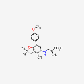 [2H]C1([2H])Cc2c(C#N)c(NCC(=C)C(=O)O)cc(-c3ccc(OC(F)(F)F)cc3)c2O1